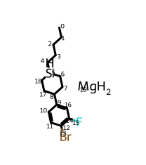 CCCCC[SiH]1CCC(c2ccc(Br)c(F)c2)CC1.[MgH2]